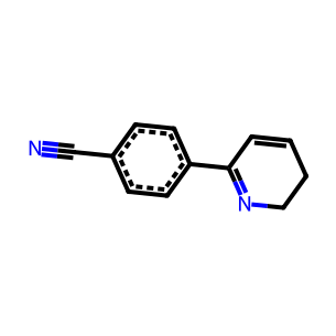 N#Cc1ccc(C2=NCCC=C2)cc1